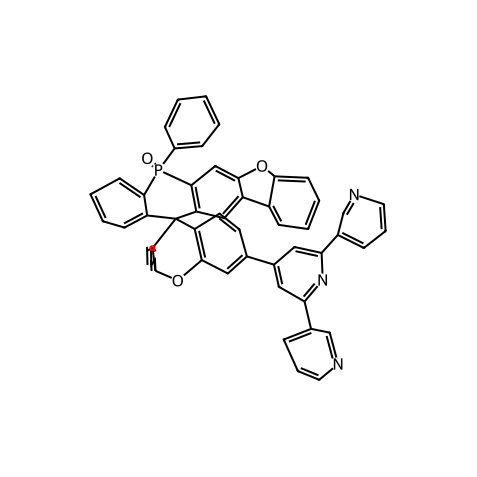 O=P1(c2ccccc2)c2ccccc2C2(c3ccccc3Oc3cc(-c4cc(-c5cccnc5)nc(-c5cccnc5)c4)ccc32)c2cc3c(cc21)oc1ccccc13